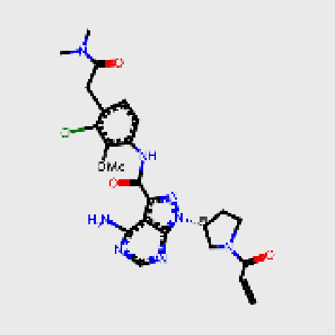 C=CC(=O)N1CC[C@@H](n2nc(C(=O)Nc3ccc(CC(=O)N(C)C)c(Cl)c3OC)c3c(N)ncnc32)C1